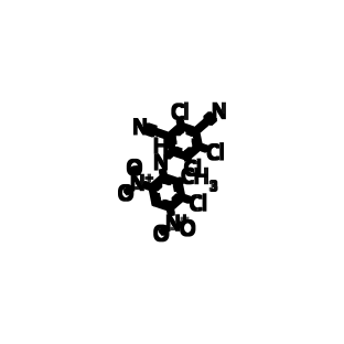 Cc1c(Cl)c([N+](=O)[O-])cc([N+](=O)[O-])c1Nc1c(Cl)c(Cl)c(C#N)c(Cl)c1C#N